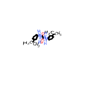 CC(C)c1cccc(NNC(=O)C(=O)NNc2cccc(C(C)C)c2)c1